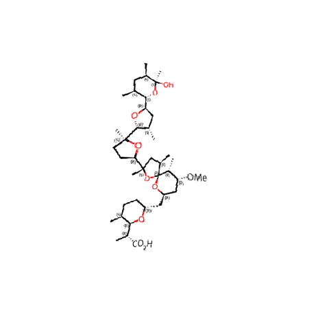 CO[C@@H]1C[C@@H](C[C@H]2CC[C@H](C)[C@H]([C@@H](C)C(=O)O)O2)O[C@]2(O[C@](C)([C@H]3CC[C@@](C)([C@@H]4O[C@@H]([C@H]5O[C@](C)(O)[C@H](C)C[C@@H]5C)C[C@@H]4C)O3)C[C@H]2C)[C@@H]1C